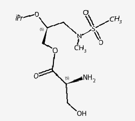 CC(C)O[C@H](COC(=O)[C@@H](N)CO)CN(C)S(C)(=O)=O